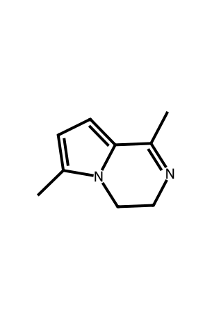 CC1=NCCn2c(C)ccc21